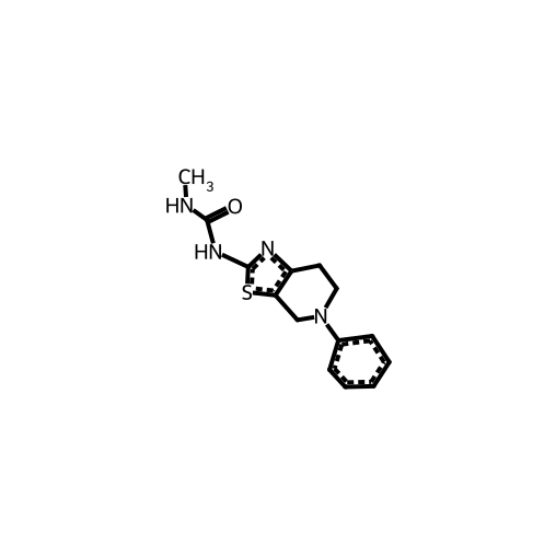 CNC(=O)Nc1nc2c(s1)CN(c1ccccc1)CC2